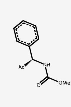 COC(=O)N[C@@H](C(C)=O)c1ccccc1